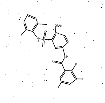 COc1ccc(NC(=O)c2cc(C)cc(F)c2F)cc1S(=O)(=O)Nc1c(C)cccc1C